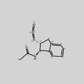 CC(=O)N[C@@H]1c2ccccc2C[C@H]1N=[N+]=[N-]